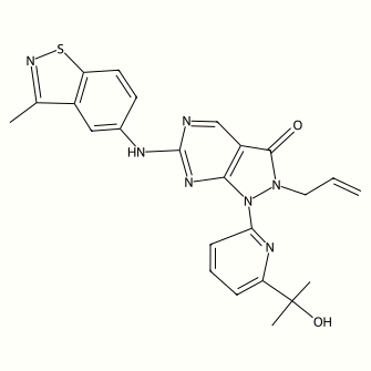 C=CCn1c(=O)c2cnc(Nc3ccc4snc(C)c4c3)nc2n1-c1cccc(C(C)(C)O)n1